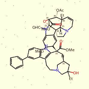 CCC1(O)C[C@H]2CN(CCc3c([nH]c4ccc(-c5ccccc5)cc34)[C@@](C(=O)OC)(C3C=C4C(=CC3OC)N(C=O)[C@@]35O[C@]3(C(=O)OC)[C@H](OC(C)=O)[C@]3(CC)C=CCN6CC[C@]45[C@@H]63)C2)C1